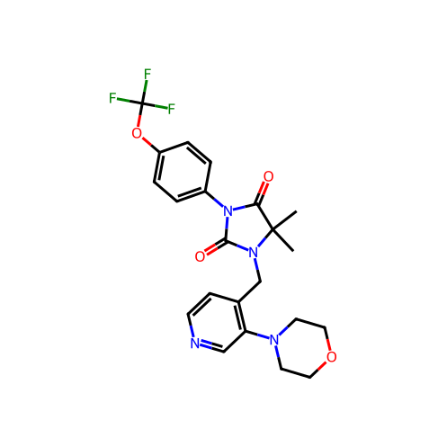 CC1(C)C(=O)N(c2ccc(OC(F)(F)F)cc2)C(=O)N1Cc1ccncc1N1CCOCC1